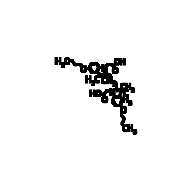 CCCCOc1ccc2c(c1)C(C)(C)C(/C=C/C=C1/N(CC(=O)O)c3ccc(OCCCC)cc3C1(C)C)=[N+]2CC(=O)O